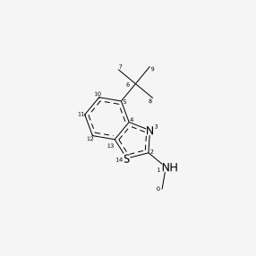 CNc1nc2c(C(C)(C)C)cccc2s1